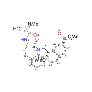 CN[C@@H](C)C(=O)NC1CCc2ccccc2N(Cc2c(OC)ccc3ccc(C(=O)OC)cc23)C1=O